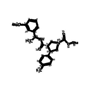 COc1cccc([C@H](C)NC(=O)[C@@H]2CN(C(=O)OC(C)(C)C)C[C@H]2c2ccc(C(F)(F)F)cc2)c1